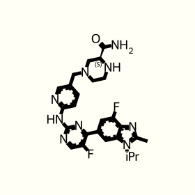 Cc1nc2c(F)cc(-c3nc(Nc4ccc(CN5CCN[C@H](C(N)=O)C5)cn4)ncc3F)cc2n1C(C)C